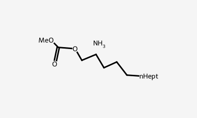 CCCCCCCCCCCCOC(=O)OC.N